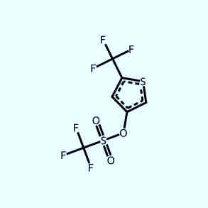 O=S(=O)(Oc1csc(C(F)(F)F)c1)C(F)(F)F